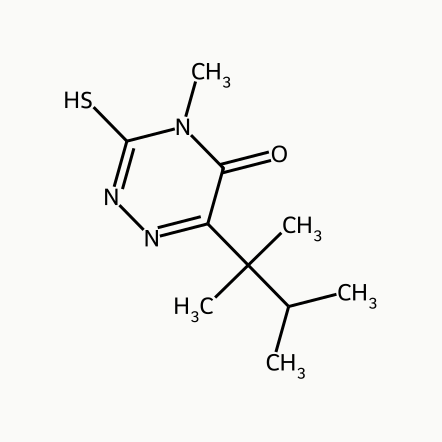 CC(C)C(C)(C)c1nnc(S)n(C)c1=O